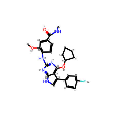 CNC(=O)c1ccc(Nc2nc(OC3CCCC3)c3c(-c4ccc(F)cc4)c[nH]c3n2)c(OC)c1